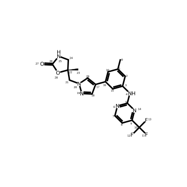 Cc1cc(Nc2nccc(C(F)(F)F)n2)cc(-c2cnn(C[C@@]3(C)CNC(=O)O3)c2)c1